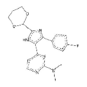 CN(C)c1nccc(-c2[nH]c(C3OCCCO3)nc2-c2ccc(F)cc2)n1